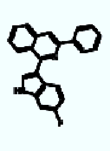 Fc1ccc2c(-c3nc(-c4ccccc4)cc4ccccc34)c[nH]c2c1